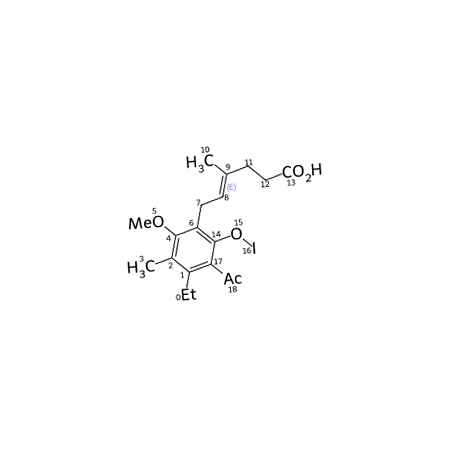 CCc1c(C)c(OC)c(C/C=C(\C)CCC(=O)O)c(OI)c1C(C)=O